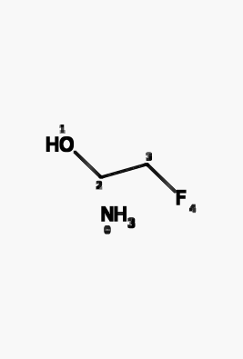 N.OCCF